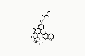 C=C/C(F)=C(\C)COc1ccc2c(c1)C(=C)N(C)C(C(OC(C)(C)C)C(=O)O)=C2c1ccc2c(c1C)CCCO2